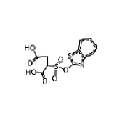 O=C(O)CC(C(=O)O)S(=O)(=O)Oc1nc2ccccc2s1